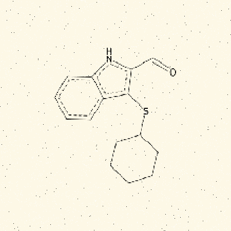 O=Cc1[nH]c2ccccc2c1SC1CCCCC1